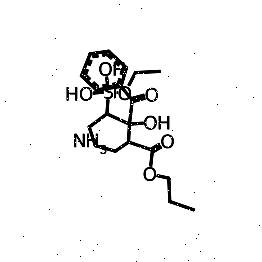 CCCOC(=O)C1CCCC([Si](O)(O)OCC)C1(O)C(=O)c1ccccc1.N